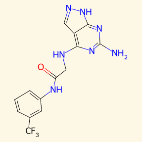 Nc1nc(NCC(=O)Nc2cccc(C(F)(F)F)c2)c2cn[nH]c2n1